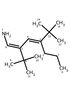 CCC/C(=C\C(=C/N)C(C)(C)C)C(C)(C)C